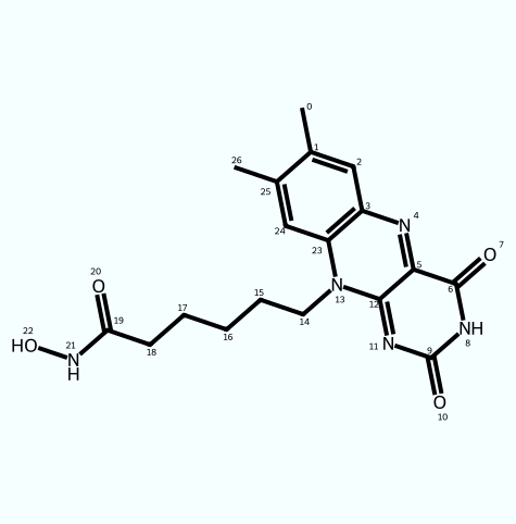 Cc1cc2nc3c(=O)[nH]c(=O)nc-3n(CCCCCC(=O)NO)c2cc1C